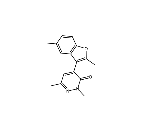 Cc1ccc2oc(C)c(-c3[c]c(C)nn(C)c3=O)c2c1